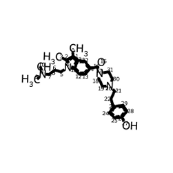 Cc1c(C)n(CCCN(C)C)c2ccc(C(=O)N3CCN(CCc4ccc(O)cc4)CC3)cc12